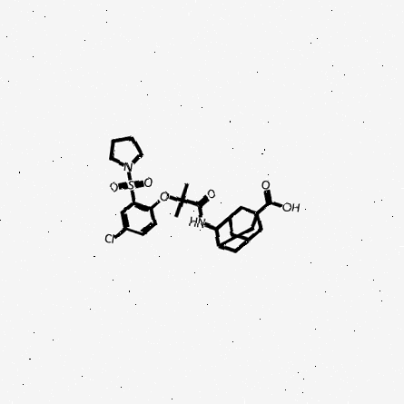 CC(C)(Oc1ccc(Cl)cc1S(=O)(=O)N1CCCC1)C(=O)NC1C2CC3CC1CC(C(=O)O)(C3)C2